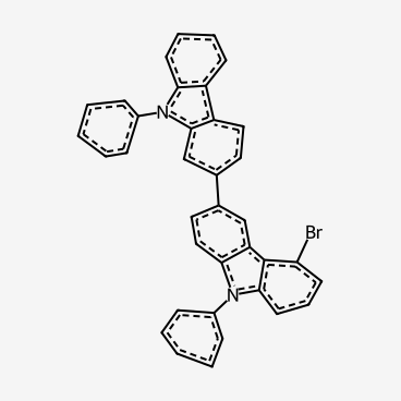 Brc1cccc2c1c1cc(-c3ccc4c5ccccc5n(-c5ccccc5)c4c3)ccc1n2-c1ccccc1